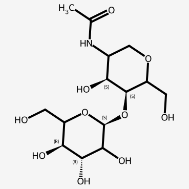 CC(=O)NC1COC(CO)[C@@H](O[C@@H]2OC(CO)[C@H](O)[C@@H](O)C2O)[C@H]1O